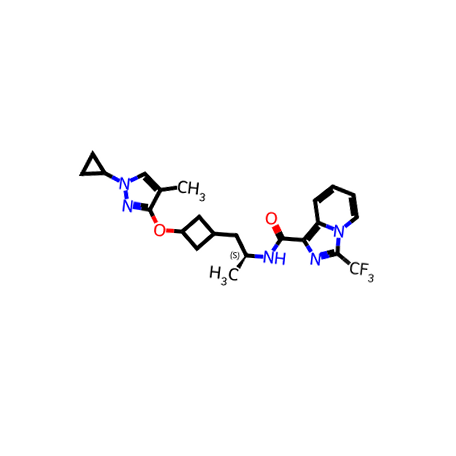 Cc1cn(C2CC2)nc1OC1CC(C[C@H](C)NC(=O)c2nc(C(F)(F)F)n3ccccc23)C1